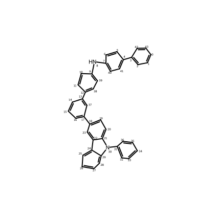 c1ccc(-c2ccc(Nc3ccc(-c4cccc(-c5ccc6c(c5)c5ccccc5n6-c5ccccc5)c4)cc3)cc2)cc1